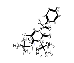 BC(B)(B)/N=c1\c(F)cn(S(=O)(=O)c2ccc(C)cc2)c(=O)n1C(B)(B)B